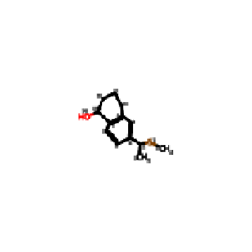 CSC(C)c1ccc2c(c1)CCCC2O